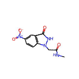 CNC(=O)Cn1[nH]c(=O)c2cc([N+](=O)[O-])ccc21